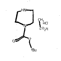 CC(=O)O.CC(C)(C)OC(=O)N1CCNCC1.Cl